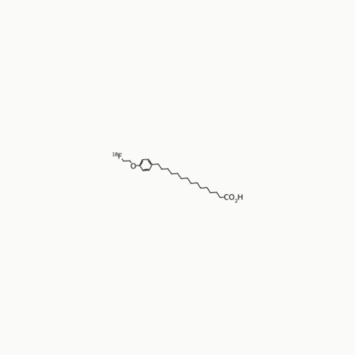 O=C(O)CCCCCCCCCCCCCCc1ccc(OCC[18F])cc1